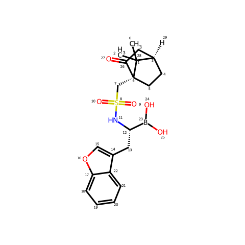 CC1(C)[C@@H]2CC[C@@]1(CS(=O)(=O)N[C@@H](Cc1coc3ccccc13)B(O)O)C(=O)C2